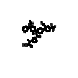 CCOC1(c2cccnc2)C=CC(C2(NC(=O)N3CC[C@@H](N(C)C(=O)O)C3)CCN(c3ccc(C(F)(F)F)cc3C#N)CC2)=CN1